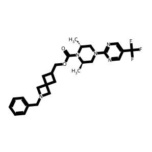 C[C@@H]1CN(c2ncc(C(F)(F)F)cn2)C[C@@H](C)N1C(=O)OCC1CC2(C1)CN(Cc1ccccc1)C2